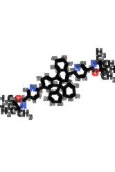 CC1(C)N=C(c2ccc(-c3ccc4c(c3)C(c3ccccc3)(c3ccccc3)c3cc(-c5ccc(C6=NC(C)(C)C(C)(C)O6)cn5)c5ccccc5c3-4)nc2)OC1(C)C